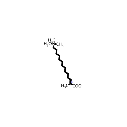 C/C(=C\CCCCCCCCCCC[N+](C)(C)C)C(=O)[O-]